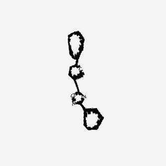 c1ccc(-c2ccc(-c3nc(-c4ccccc4)no3)cc2)cc1